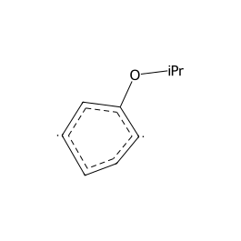 CC(C)Oc1[c]cc[c]c1